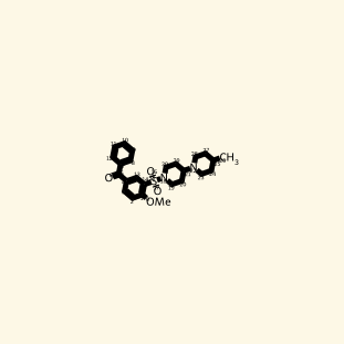 COc1ccc(C(=O)c2ccccc2)cc1S(=O)(=O)N1CCC(N2CCC(C)CC2)CC1